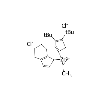 C[CH]1[CH2][Zr+2]1([C]1=CC(C(C)(C)C)=C(C(C)(C)C)C1)[CH]1C=CC2=C1CCCC2.[Cl-].[Cl-]